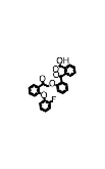 O=C(COc1ccccc1C(=O)c1ccccc1C(=O)O)c1ccccc1Oc1ccccc1F